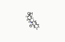 O=C1C2=CCCC=C2SC/C1=C\c1ccc(O)cc1